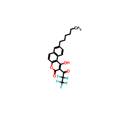 CCCCCCc1ccc2c(ccc3oc(=O)c(C(=O)C(F)(F)C(F)(F)F)c(O)c32)c1